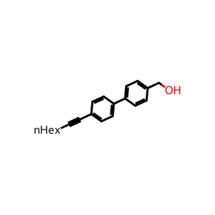 CCCCCCC#Cc1ccc(-c2ccc(CO)cc2)cc1